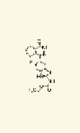 O=C(Nc1nc2cc(-c3n[nH]c(=O)c4cccc(F)c34)ccc2[nH]1)OCC(F)(F)F